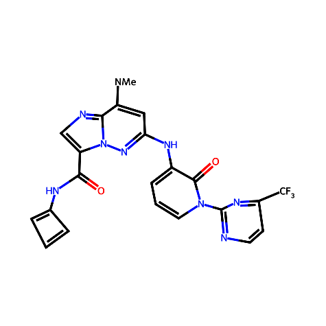 CNc1cc(Nc2cccn(-c3nccc(C(F)(F)F)n3)c2=O)nn2c(C(=O)NC3=CC=C3)cnc12